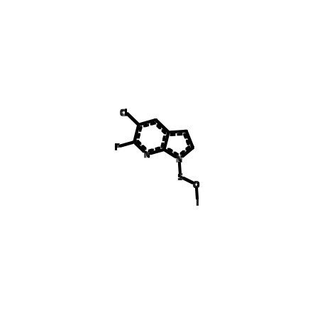 Fc1nc2c(ccn2SOI)cc1Cl